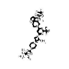 CC1CN(c2cc(N3C[C@@H](N4CCN(C(=O)OC(C)(C)C)CC4)[C@H]3C)nc(C(F)(F)F)n2)CCC12OCC=C2OS(=O)(=O)C(F)(F)F